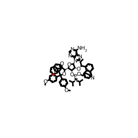 CCC(O[C@@H]1[C@H](OP(OCCC#N)N(C(C)C)C(C)C)[C@@H](C(OC(c2ccccc2)(c2ccc(OC)cc2)c2ccc(OC)cc2)C(=O)c2ccccc2)O[C@H]1n1cnc2c(N)ncnc21)c1cccc2ccccc12